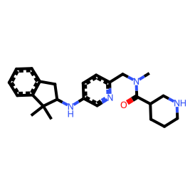 CN(Cc1ccc(NC2Cc3ccccc3C2(C)C)cn1)C(=O)C1CCCNC1